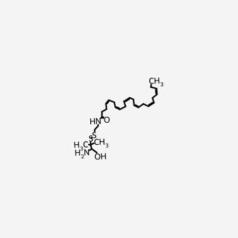 CC/C=C\C/C=C\C/C=C\C/C=C\C/C=C\C/C=C\CCC(=O)NCCSSC(C)(C)C(N)CO